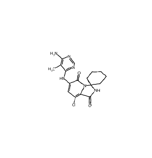 Cc1c(N)ncnc1Nc1cc(Cl)c2n(c1=O)C1(CCCCC1)NC2=O